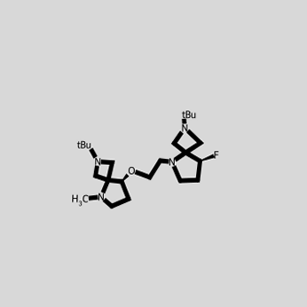 CN1CC[C@H](OCCN2CC[C@H](F)C23CN(C(C)(C)C)C3)C12CN(C(C)(C)C)C2